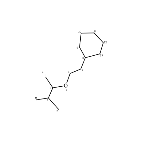 CC(C)C(I)OCCC1CCCCC1